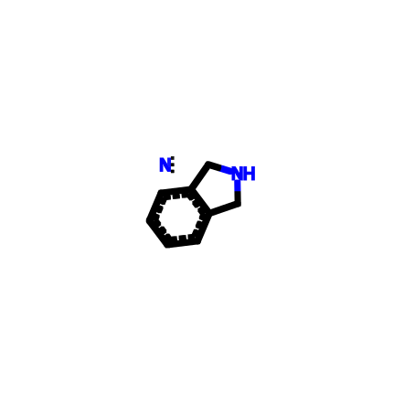 [N].c1ccc2c(c1)CNC2